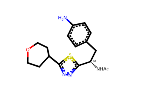 CC(=O)N[C@@H](Cc1ccc(N)cc1)c1nnc(C2CCOCC2)s1